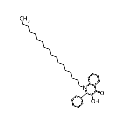 CCCCCCCCCCCCCCCCCCn1c(-c2ccccc2)c(O)c(=O)c2ccccc21